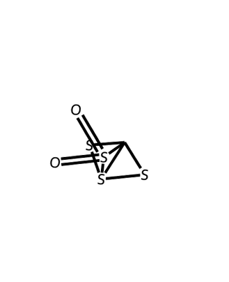 O=S1(=O)C23SS21S3